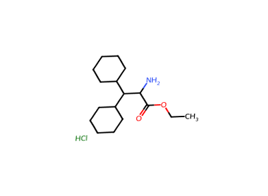 CCOC(=O)C(N)C(C1CCCCC1)C1CCCCC1.Cl